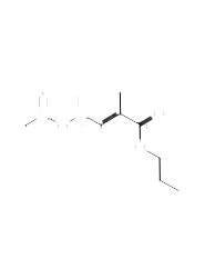 CCCOC(=O)C(C)=C[SiH2]O[SiH](C)C